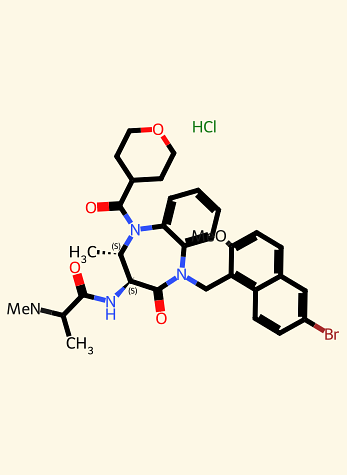 CNC(C)C(=O)N[C@@H]1C(=O)N(Cc2c(OC)ccc3cc(Br)ccc23)c2ccccc2N(C(=O)C2CCOCC2)[C@H]1C.Cl